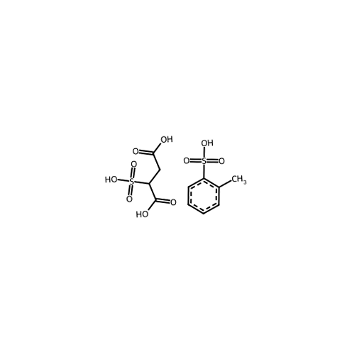 Cc1ccccc1S(=O)(=O)O.O=C(O)CC(C(=O)O)S(=O)(=O)O